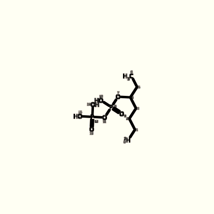 [2H]CCCC(CC)OP(=O)(O)OP(=O)(O)O